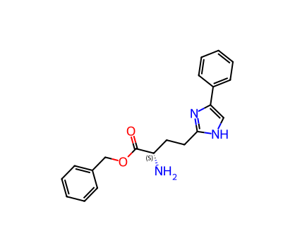 N[C@@H](CCc1nc(-c2ccccc2)c[nH]1)C(=O)OCc1ccccc1